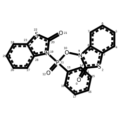 O=c1sc2ccccc2n1OP(=O)(c1ccccc1)n1c(=O)sc2ccccc21